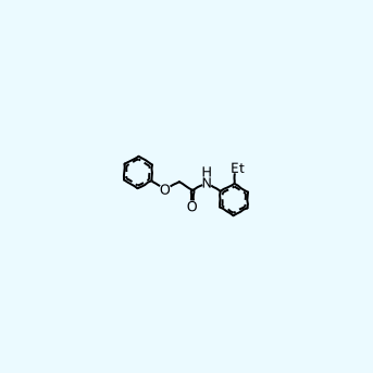 CCc1ccccc1NC(=O)COc1ccccc1